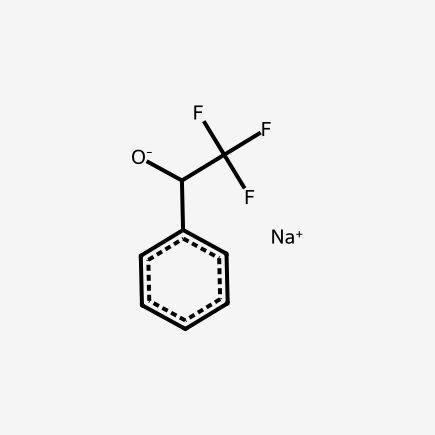 [Na+].[O-]C(c1ccccc1)C(F)(F)F